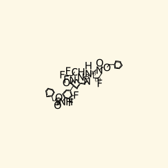 CC(n1c(=O)c(-c2ccc(NS(=O)(=O)Cc3ccccc3)c(F)c2F)cc2cnc(N[C@H]3C[C@H](F)CN(C(=O)OCc4ccccc4)C3)nc21)C(F)(F)F